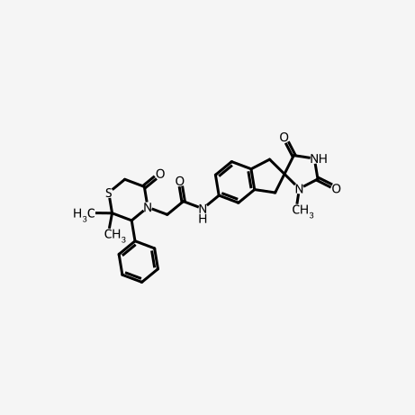 CN1C(=O)NC(=O)C12Cc1ccc(NC(=O)CN3C(=O)CSC(C)(C)C3c3ccccc3)cc1C2